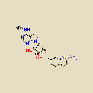 CCCNc1ncnc2c1ccn2[C@@H]1C[C@H](CCc2ccc3ccc(N)nc3c2)[C@@H](O)[C@H]1O